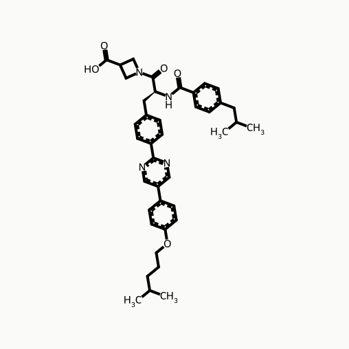 CC(C)CCCOc1ccc(-c2cnc(-c3ccc(C[C@H](NC(=O)c4ccc(CC(C)C)cc4)C(=O)N4CC(C(=O)O)C4)cc3)nc2)cc1